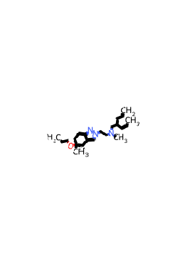 C=CCC(/C=C\C)CN(C)CCn1cc2c(n1)CCC(C)(OCCC)C2